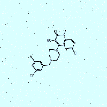 Cn1c(=O)c(C#N)c(N2CCN(Cc3cc(F)cc(Cl)c3)CC2)c2nc(Cl)ccc21